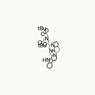 CC(C)(C)OC(=O)CN(CCCCN(Cc1nccc2c1[nH]c1ccccc12)[C@H]1CCCc2cccnc21)CC(=O)OC(C)(C)C